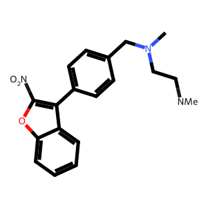 CNCCN(C)Cc1ccc(-c2c([N+](=O)[O-])oc3ccccc23)cc1